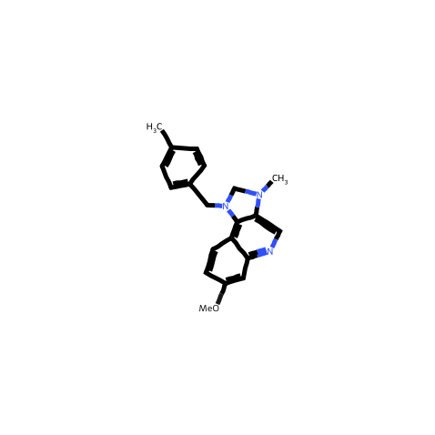 COc1ccc2c3c(cnc2c1)N(C)CN3Cc1ccc(C)cc1